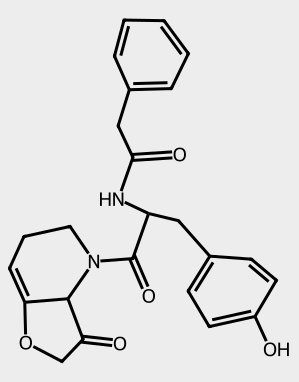 O=C(Cc1ccccc1)NC(Cc1ccc(O)cc1)C(=O)N1CCC=C2OCC(=O)C21